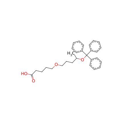 CC(CCCOCCCCC(=O)O)OC(c1ccccc1)(c1ccccc1)c1ccccc1